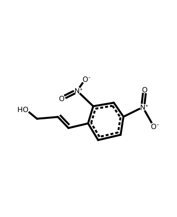 O=[N+]([O-])c1ccc(/C=C/CO)c([N+](=O)[O-])c1